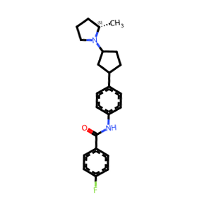 C[C@H]1CCCN1C1CCC(c2ccc(NC(=O)c3ccc(F)cc3)cc2)C1